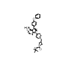 CC(C)(C)OC(=O)N1CC(CN2CCC(n3nc(-c4ccc(Oc5ccccc5)cc4)c4c(N)ncnc43)CC2)C1